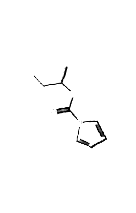 CCC(C)OC(=O)n1cccc1